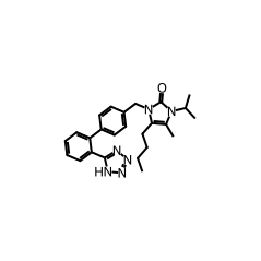 CCCCc1c(C)n(C(C)C)c(=O)n1Cc1ccc(-c2ccccc2-c2nnn[nH]2)cc1